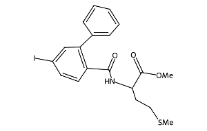 COC(=O)C(CCSC)NC(=O)c1ccc(I)cc1-c1ccccc1